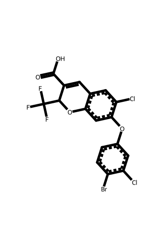 O=C(O)C1=Cc2cc(Cl)c(Oc3ccc(Br)c(Cl)c3)cc2OC1C(F)(F)F